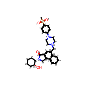 CS(=O)(=O)c1ccc(N2CCN(Cc3cc4c(c5ccccc35)CN([C@H]3CCCC[C@@H]3O)C4=O)CC2)cc1